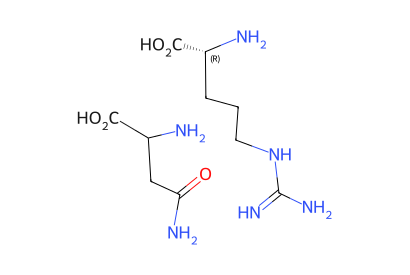 N=C(N)NCCC[C@@H](N)C(=O)O.NC(=O)CC(N)C(=O)O